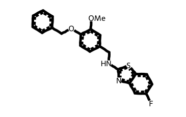 COc1cc(CNc2nc3cc(F)ccc3s2)ccc1OCc1ccccc1